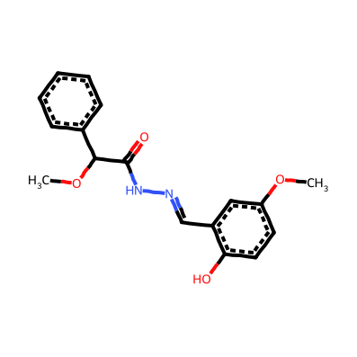 COc1ccc(O)c(/C=N/NC(=O)C(OC)c2ccccc2)c1